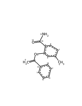 C=C(Oc1cc(C)ccc1C(N)=O)c1ccccc1